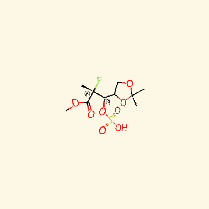 COC(=O)[C@](C)(F)[C@H](OS(=O)(=O)O)C1COC(C)(C)O1